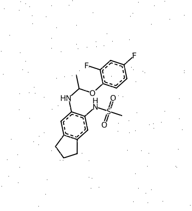 CC(Nc1cc2c(cc1NS(C)(=O)=O)CCC2)Oc1ccc(F)cc1F